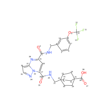 O=C(NCc1cccc(OC(F)(F)F)c1)c1cc(C(=O)NCC23CCC(C(=O)O)(CC2)CC3)n2nccc2n1